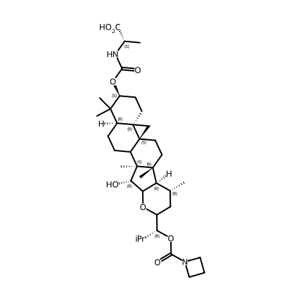 CC(C)[C@@H](OC(=O)N1CCC1)C1C[C@@H](C)[C@H]2C(O1)[C@H](O)[C@@]1(C)C3CC[C@H]4C(C)(C)[C@@H](OC(=O)N[C@@H](C)C(=O)O)CC[C@@]45C[C@@]35CC[C@]21C